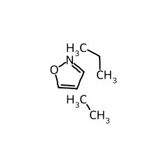 CC.CCC.c1cnoc1